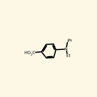 CCN(c1ccc(C(=O)O)cc1)C(C)C